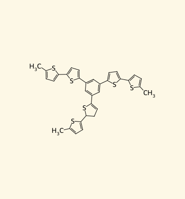 Cc1ccc(-c2ccc(-c3cc(C4=CCC(c5ccc(C)s5)S4)cc(-c4ccc(-c5ccc(C)s5)s4)c3)s2)s1